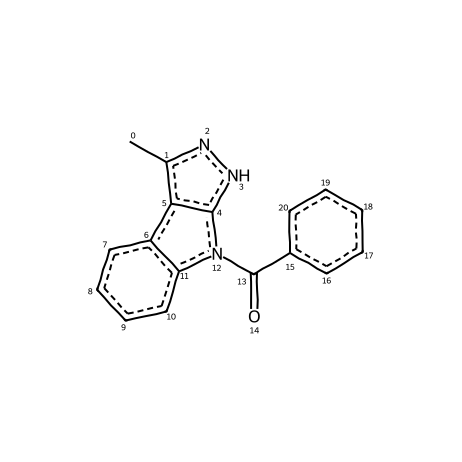 Cc1n[nH]c2c1c1ccccc1n2C(=O)c1ccccc1